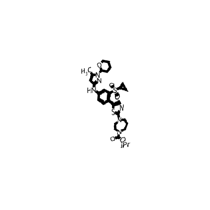 Cc1cc(Nc2ccc(-c3cnc(N4CCCN(C(=O)OC(C)C)CC4)s3)c(S(=O)(=O)C3CC3)c2)nn1C1CCCCO1